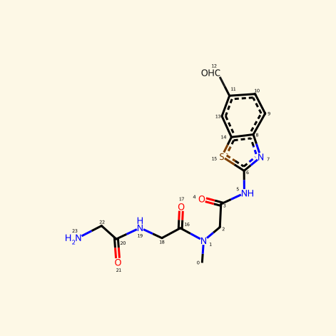 CN(CC(=O)Nc1nc2ccc(C=O)cc2s1)C(=O)CNC(=O)CN